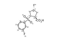 O=C(O)[C@@H]1C[C@@H](F)CC1S(=O)(=O)c1cccc(F)c1